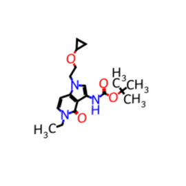 CCn1ccc2c(c(NC(=O)OC(C)(C)C)cn2CCOC2CC2)c1=O